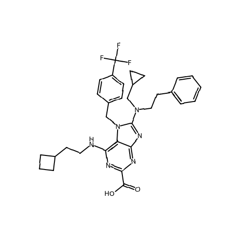 O=C(O)c1nc(NCCC2CCC2)c2c(n1)nc(N(CCc1ccccc1)CC1CC1)n2Cc1ccc(C(F)(F)F)cc1